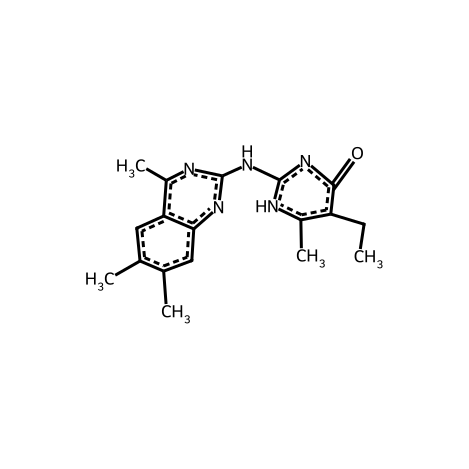 CCc1c(C)[nH]c(Nc2nc(C)c3cc(C)c(C)cc3n2)nc1=O